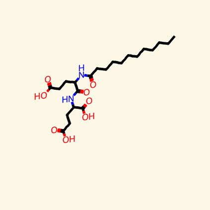 CCCCCCCCCCCC(=O)NC(CCC(=O)O)C(=O)NC(CCC(=O)O)C(=O)O